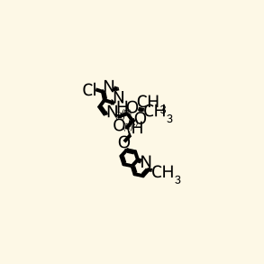 Cc1ccc2ccc(OC[C@H]3O[C@@H](n4ccc5c(Cl)ncnc54)[C@@H]4OC(C)(C)O[C@@H]43)cc2n1